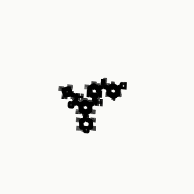 CN(c1cccc(Cl)c1)c1ccnc(Nc2cc(C(=O)NC3CCC3)cc(N3CCOCC3)c2)n1